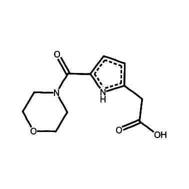 O=C(O)Cc1ccc(C(=O)N2CCOCC2)[nH]1